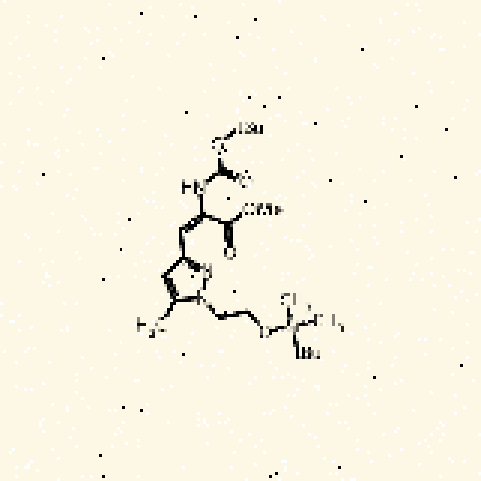 COC(=O)/C(=C\c1cc(C)n(CCO[Si](C)(C)C(C)(C)C)n1)NC(=O)OC(C)(C)C